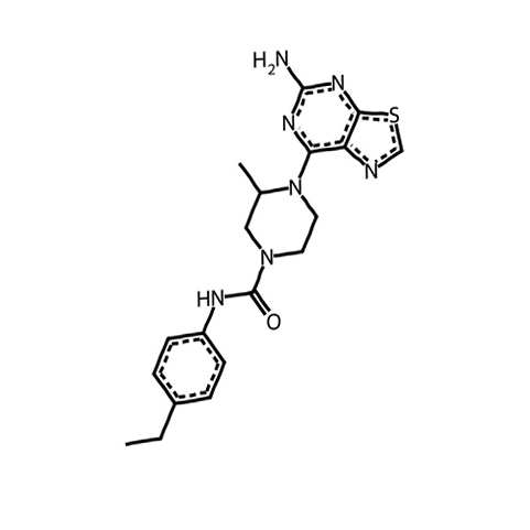 CCc1ccc(NC(=O)N2CCN(c3nc(N)nc4scnc34)C(C)C2)cc1